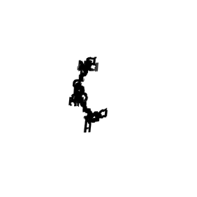 O=S(=O)(NCCCc1c[nH]c2ccc(Cl)cc12)c1ccc(OCCCn2cnc(Cl)c2Cl)cc1